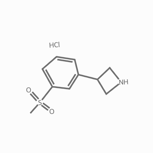 CS(=O)(=O)c1cccc(C2CNC2)c1.Cl